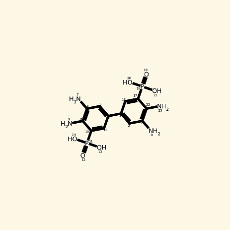 Nc1cc(-c2cc(N)c(N)c(P(=O)(O)O)c2)cc(P(=O)(O)O)c1N